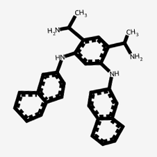 CC(N)c1cc(C(C)N)c(Nc2ccc3ccccc3c2)cc1Nc1ccc2ccccc2c1